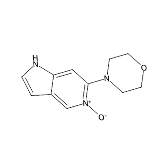 [O-][n+]1cc2cc[nH]c2cc1N1CCOCC1